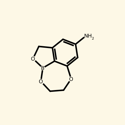 Nc1cc2c3c(c1)OCCOB3OC2